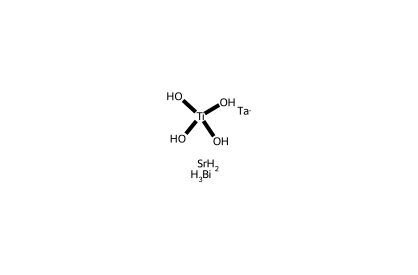 [BiH3].[OH][Ti]([OH])([OH])[OH].[SrH2].[Ta]